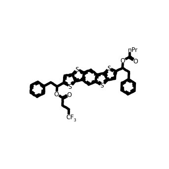 CCCC(=O)OC(Cc1ccccc1)c1cc2sc3cc4c(cc3c2s1)sc1cc(C(Cc2ccccc2)OC(=O)CCC(F)(F)F)sc14